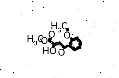 CCOc1ccccc1C(=O)/C=C(\O)C(=O)OC